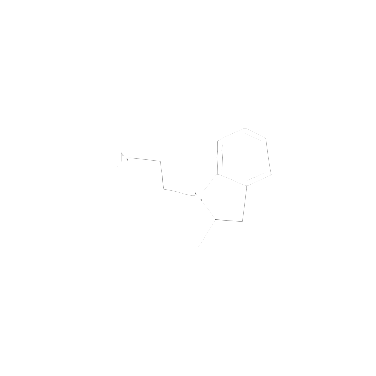 CC1Cc2ccccc2N1CCN